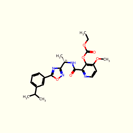 CCOC(=O)Oc1c(OC)ccnc1C(=O)N[C@@H](C)c1noc(-c2cccc(C(C)C)c2)n1